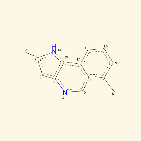 Cc1cc2ncc3c(C)cccc3c2[nH]1